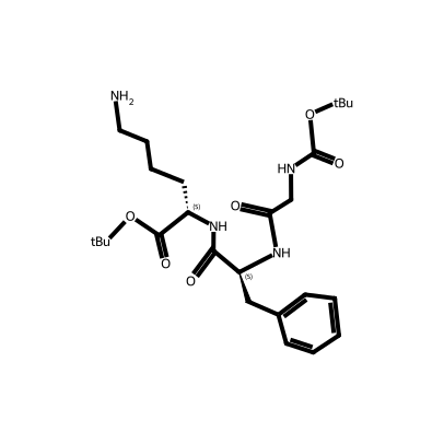 CC(C)(C)OC(=O)NCC(=O)N[C@@H](Cc1ccccc1)C(=O)N[C@@H](CCCCN)C(=O)OC(C)(C)C